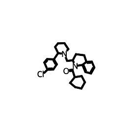 O=C(C1CCCCC1)N1c2ccccc2CCC1CN1CCCCC1c1ccc(Cl)cc1